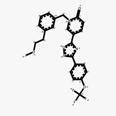 O=c1ccc(-c2nc(-c3ccc(OC(F)(F)F)cc3)no2)cn1Cc1cccc(CCOI)c1